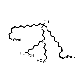 CCCCC/C=C\C/C=C\CCCCCCCCC(O)(CCCCCCCC/C=C\C/C=C\CCCCC)OCCCN(CCCCCC(=O)O)CCCCCC(O)O